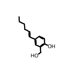 CCCCC=Cc1ccc(O)c(CO)c1